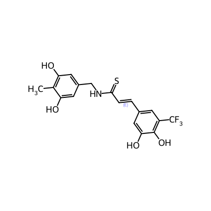 Cc1c(O)cc(CNC(=S)/C=C/c2cc(O)c(O)c(C(F)(F)F)c2)cc1O